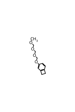 COCOCOCOc1ccc2c(c1)CC2